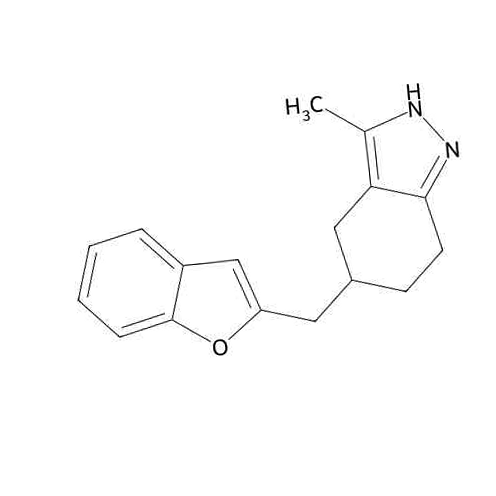 Cc1[nH]nc2c1CC(Cc1cc3ccccc3o1)CC2